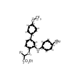 CCOC(=O)C(F)Oc1ccc(-c2ccc(OC(F)(F)F)cc2)cc1Oc1ccc(C(C)(C)C)cc1